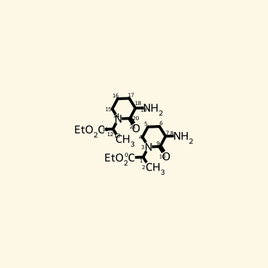 CCOC(=O)C(C)N1CCCC(N)C1=O.CCOC(=O)C(C)N1CCCC(N)C1=O